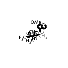 COc1ccc(C(=O)N2CCc3c(nn(C)c3-c3cc(C(F)(F)F)nn3C)C2C)c2cccnc12